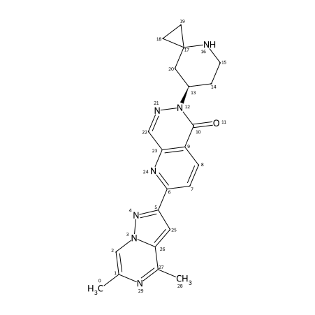 Cc1cn2nc(-c3ccc4c(=O)n([C@@H]5CCNC6(CC6)C5)ncc4n3)cc2c(C)n1